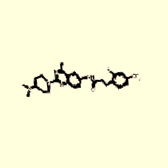 Cc1nc(N2CCC(N(C)C)CC2)nc2ccc(NC(=O)CCc3ccc(C(F)(F)F)cc3F)cc12